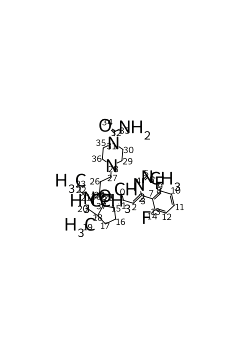 C=C(/C=C(\N=N/C)c1c(F)cccc1F)[C@@H]1CC[C@@](C)(CN(CC)C(=O)CCN2CCN(C(N)=O)CC2)C1(C)C